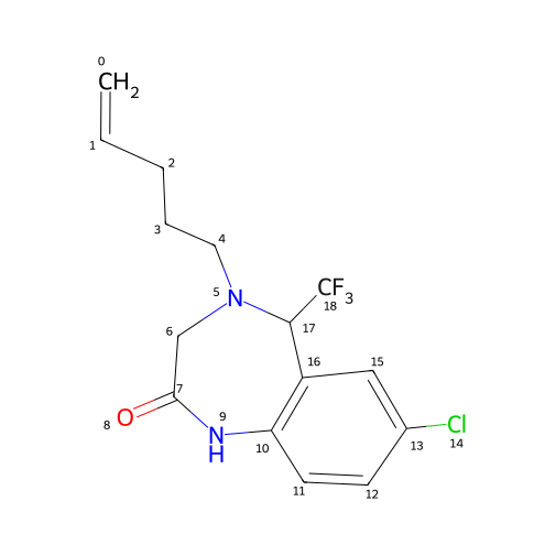 C=CCCCN1CC(=O)Nc2ccc(Cl)cc2C1C(F)(F)F